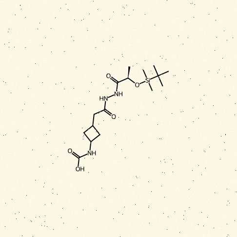 C[C@@H](O[Si](C)(C)C(C)(C)C)C(=O)NNC(=O)CC1CC(NC(=O)O)C1